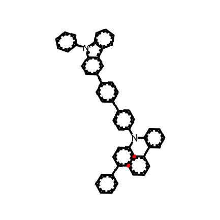 c1ccc(-c2ccc(N(c3ccc(-c4ccc(-c5ccc6c(c5)c5ccccc5n6-c5ccccc5)cc4)cc3)c3ccccc3-c3ccccc3)cc2)cc1